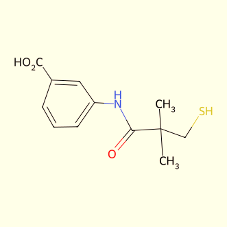 CC(C)(CS)C(=O)Nc1cccc(C(=O)O)c1